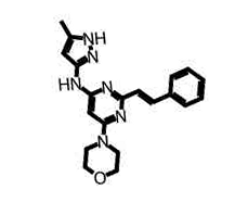 Cc1cc(Nc2cc(N3CCOCC3)nc(C=Cc3ccccc3)n2)n[nH]1